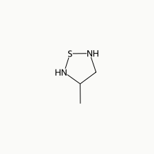 CC1CNSN1